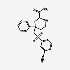 N#Cc1cccc(S(=O)(=O)[CH]C2(c3ccccc3)CCNC(C(N)=O)C2)c1